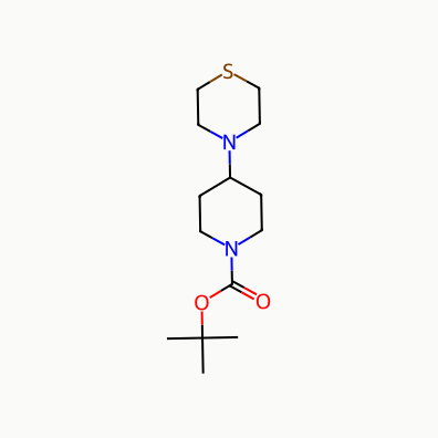 CC(C)(C)OC(=O)N1CCC(N2CCSCC2)CC1